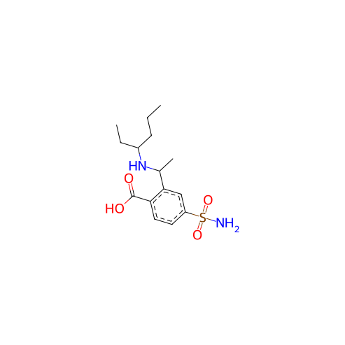 CCCC(CC)NC(C)c1cc(S(N)(=O)=O)ccc1C(=O)O